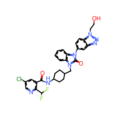 O=C(NC1CCC(Cn2c(=O)n(-c3ccc4c(c3)nnn4CCO)c3ccccc32)CC1)c1cc(Cl)cnc1C(F)F